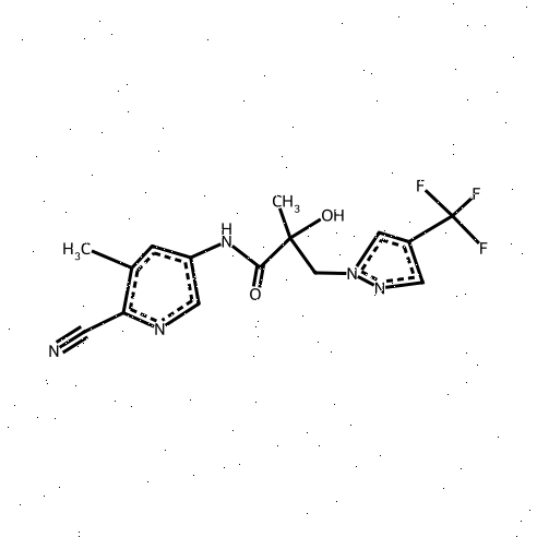 Cc1cc(NC(=O)C(C)(O)Cn2cc(C(F)(F)F)cn2)cnc1C#N